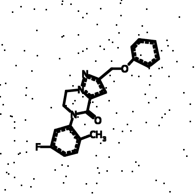 Cc1ccc(F)cc1N1CCn2nc(COc3ccccc3)cc2C1=O